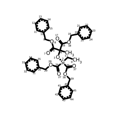 CC[Si](OC(C)(C(=O)OCc1ccccc1)C(=O)OCc1ccccc1)(C(=O)OCc1ccccc1)C(=O)OCc1ccccc1